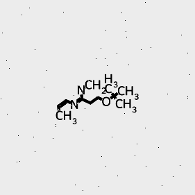 C=N/C(CCOC(C)(C)C)=N\C=C/C